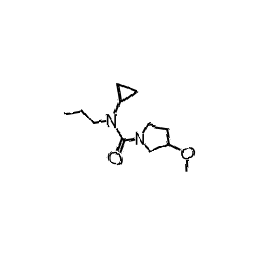 CCCN(C(=O)N1CCC(OC)C1)C1CC1